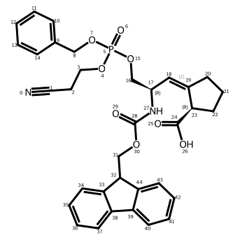 N#CCCOP(=O)(OCc1ccccc1)OC[C@@H](/C=C1/CCC[C@H]1C(=O)O)NC(=O)OCC1c2ccccc2-c2ccccc21